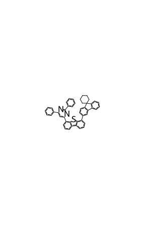 c1ccc(-c2cc(-c3cccc4c3sc3c(-c5ccc6c(c5)-c5ccccc5C65CCCCC5)cccc34)nc(-c3ccccc3)n2)cc1